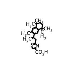 C=C(Cc1nc(C(=O)O)cs1)c1cc2c(cc1C)C(C)(C)CCC2(C)C